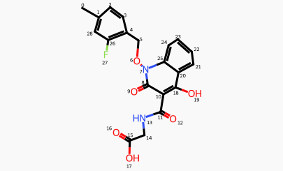 Cc1ccc(COn2c(=O)c(C(=O)NCC(=O)O)c(O)c3ccccc32)c(F)c1